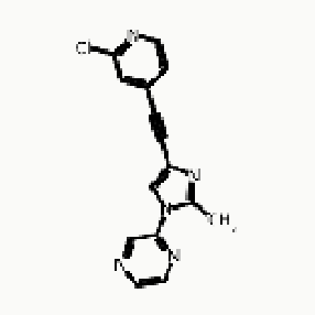 Cc1nc(C#Cc2ccnc(Cl)c2)cn1-c1cnccn1